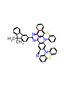 CC1(C)c2ccccc2-c2cc(-c3nc(-c4cc(C#N)c(N5c6ccccc6Sc6ccccc65)cc4N4c5ccccc5Sc5ccccc54)nc(C4C=CC=CC4)n3)ccc21